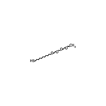 CC=COCCOCCOCCOCCCCCCCCCCCS